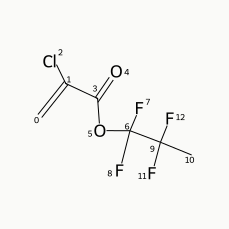 C=C(Cl)C(=O)OC(F)(F)C(C)(F)F